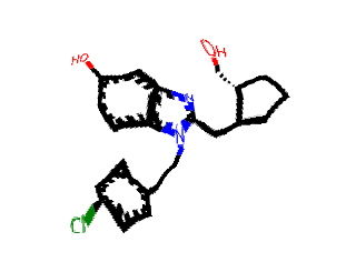 OC[C@@H]1CCCC1Cc1nc2cc(O)ccc2n1Cc1ccc(Cl)cc1